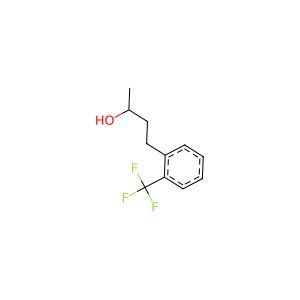 CC(O)CCc1ccccc1C(F)(F)F